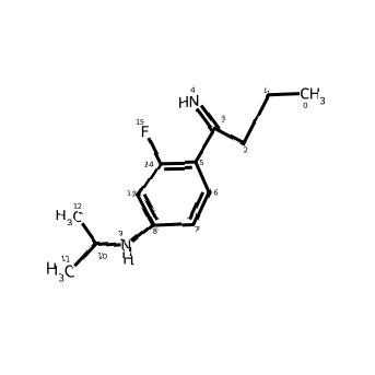 C[CH]CC(=N)c1ccc(NC(C)C)cc1F